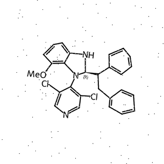 COc1cccc2c1N(c1c(Cl)cncc1Cl)[C@H](C(Cc1ccccc1)c1ccccc1)N2